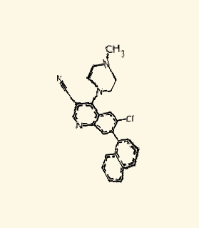 CN1CCN(c2c(C#N)cnc3cc(-c4cccc5ccccc45)c(Cl)cc23)CC1